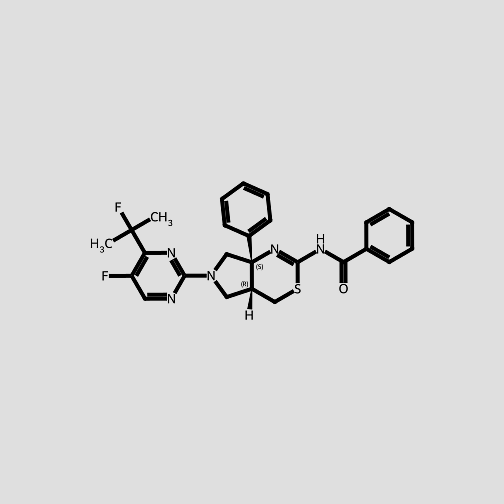 CC(C)(F)c1nc(N2C[C@H]3CSC(NC(=O)c4ccccc4)=N[C@@]3(c3ccccc3)C2)ncc1F